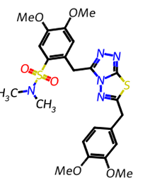 COc1ccc(Cc2nn3c(Cc4cc(OC)c(OC)cc4S(=O)(=O)N(C)C)nnc3s2)cc1OC